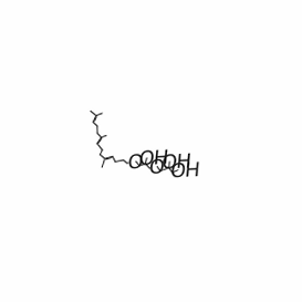 CC(C)=CCC/C(C)=C/CCC(C)=CCCCOCC(O)COCC(O)CO